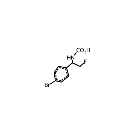 O=C(O)NC(CF)c1ccc(Br)cc1